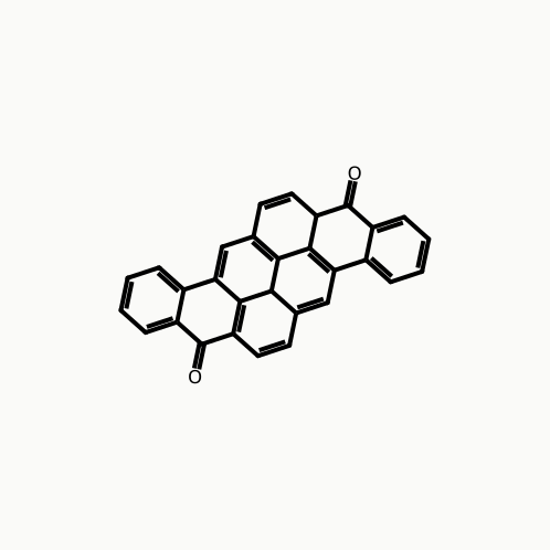 O=C1C2=C3C(=CC4=C5C6=C(C=C(C=C2)C53)c2ccccc2C(=O)C6C=C4)c2ccccc21